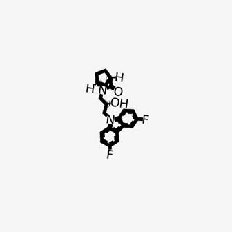 O=C1[C@H]2CC[C@H](C2)N1C[C@@H](O)Cn1c2ccc(F)cc2c2cc(F)ccc21